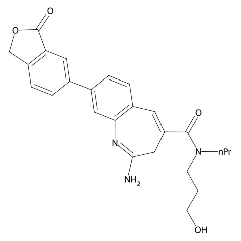 CCCN(CCCO)C(=O)C1=Cc2ccc(-c3ccc4c(c3)C(=O)OC4)cc2N=C(N)C1